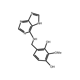 COc1c(O)ccc(CNc2ncnc3nc[nH]c23)c1O